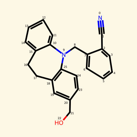 N#Cc1ccccc1CN1c2ccccc2CCc2cc(CO)ccc21